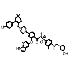 Cc1cc(S(=O)(=O)NC(=O)c2ccc(N3CCN(CC4=C(c5ccc(Cl)cc5)CC(C)(C)CC4)CC3)cc2Oc2cnc3[nH]ccc3c2)ccc1NC[C@H]1CC[C@H](O)C1